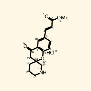 COC(=O)C=Cc1ccc2c(c1)C(=O)CC1(CCCNC1)O2.Cl